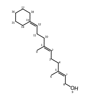 C/C(=C\CC/C(C)=C/CO)CCC=C1CCCCC1